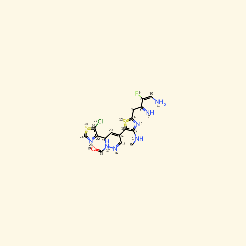 CNc1nc(CC(=N)/C(F)=C\N)sc1C(/C=N\NC=O)=C/Cc1ncsc1Cl